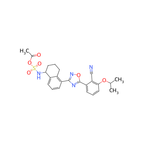 CC(=O)OS(=O)(=O)NC1CCCc2c(-c3noc(-c4cccc(OC(C)C)c4C#N)n3)cccc21